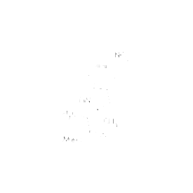 COC(=O)C(C)C1(C)Cc2cc([N+](=O)[O-])ccc2N1